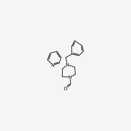 O=CN1CCN(Cc2ccccc2)CC1.c1ccncc1